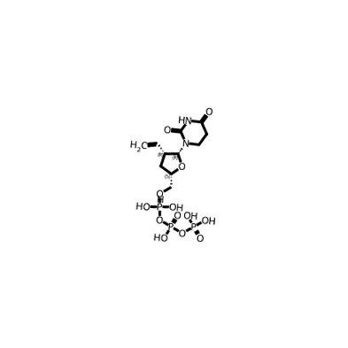 C=C[C@H]1C[C@@H](CO[PH](O)(O)OP(=O)(O)OP(=O)(O)O)O[C@H]1N1CCC(=O)NC1=O